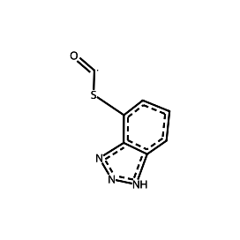 O=[C]Sc1cccc2[nH]nnc12